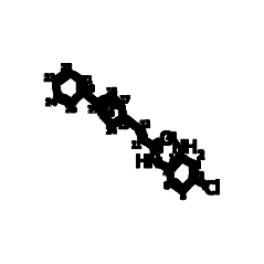 Nc1cc(Cl)ccc1NC(=O)C=CC1CC2CC1CC2c1ccccc1